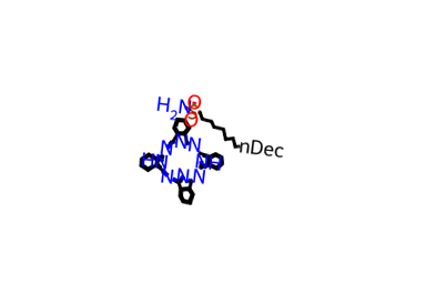 CCCCCCCCCCCCCCCCCCS(N)(=O)=O.c1ccc2c(c1)-c1nc-2nc2[nH]c(nc3nc(nc4[nH]c(n1)c1ccccc41)-c1ccccc1-3)c1ccccc21